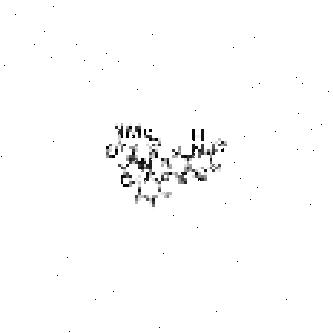 CNC(=O)C[C@@H]1COc2ccccc2N1C(=O)c1ccc2c(c1)NC(=O)CO2